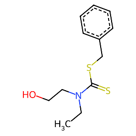 CCN(CCO)C(=S)SCc1ccccc1